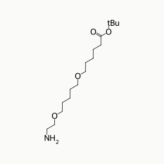 CC(C)(C)OC(=O)CCCCCOCCCCCOCCN